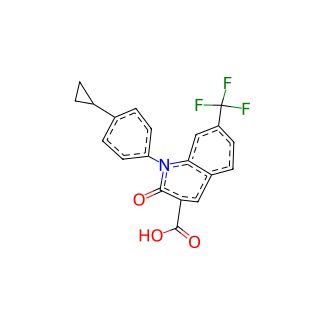 O=C(O)c1cc2ccc(C(F)(F)F)cc2n(-c2ccc(C3CC3)cc2)c1=O